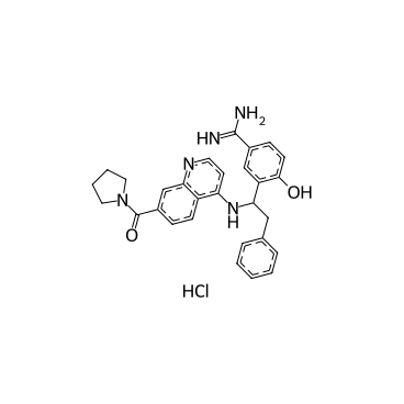 Cl.N=C(N)c1ccc(O)c(C(Cc2ccccc2)Nc2ccnc3cc(C(=O)N4CCCC4)ccc23)c1